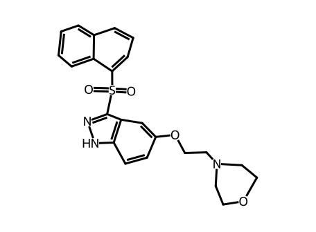 O=S(=O)(c1cccc2ccccc12)c1n[nH]c2ccc(OCCN3CCOCC3)cc12